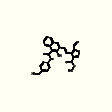 COC(=O)c1coc(C=O)c1/N=N/c1cc2ccccc2c(C(=O)Nc2ccc(CS)cc2)c1O